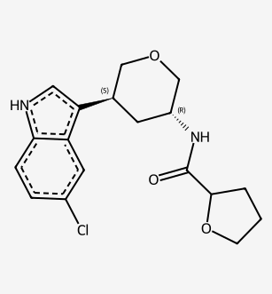 O=C(N[C@H]1COC[C@H](c2c[nH]c3ccc(Cl)cc23)C1)C1CCCO1